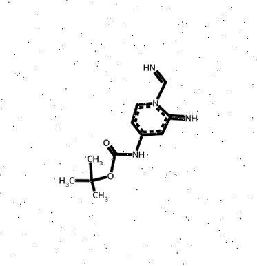 CC(C)(C)OC(=O)Nc1ccn(C=N)c(=N)c1